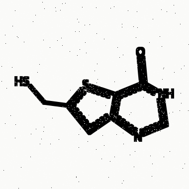 O=c1[nH]cnc2cc(CS)sc12